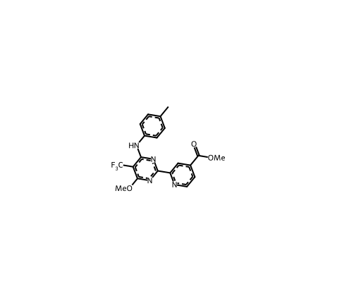 COC(=O)c1ccnc(-c2nc(Nc3ccc(C)cc3)c(C(F)(F)F)c(OC)n2)c1